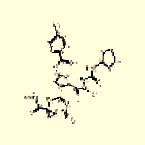 C=C[C@@H]1C[C@]1(NC(=O)[C@@H]1C[C@H](OC(=O)c2ccc([N+](=O)[O-])cc2)CN1C(=O)[C@@H](NC(=O)NC1CCCC1)C(C)(C)C)C(=O)OC